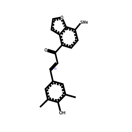 CSc1ccc(C(=O)/C=C/c2cc(C)c(O)c(C)c2)c2ccoc12